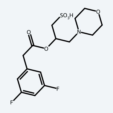 O=C(Cc1cc(F)cc(F)c1)OC(CN1CCOCC1)CS(=O)(=O)O